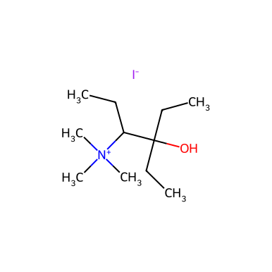 CCC(C(O)(CC)CC)[N+](C)(C)C.[I-]